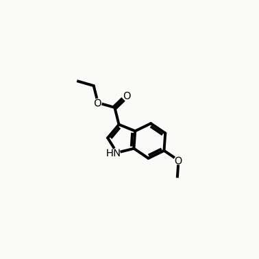 CCOC(=O)c1c[nH]c2cc(OC)ccc12